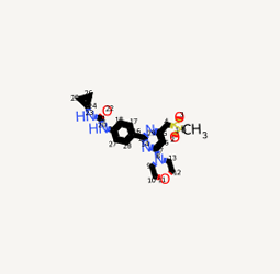 CS(=O)(=O)Cc1cc(N2CCOCC2)nc(-c2ccc(NC(=O)NC3CC3)cc2)n1